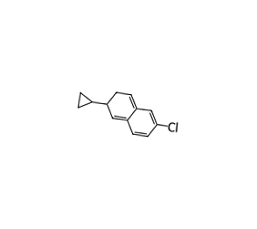 Clc1ccc2c(c1)=CCC(C1CC1)C=2